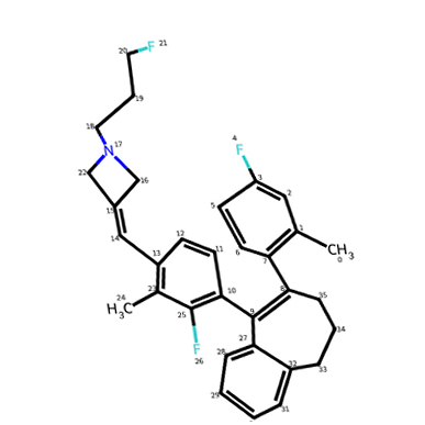 Cc1cc(F)ccc1C1=C(c2ccc(C=C3CN(CCCF)C3)c(C)c2F)c2ccccc2CCC1